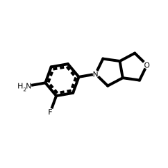 Nc1ccc(N2CC3COCC3C2)cc1F